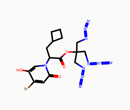 [N-]=[N+]=NCC(CN=[N+]=[N-])(CN=[N+]=[N-])OC(=O)C(CC1CCC1)n1cc(O)c(Br)cc1=O